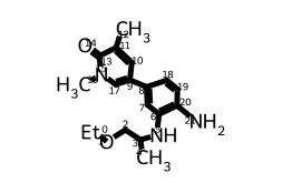 CCOCC(C)Nc1cc(-c2cc(C)c(=O)n(C)c2)ccc1N